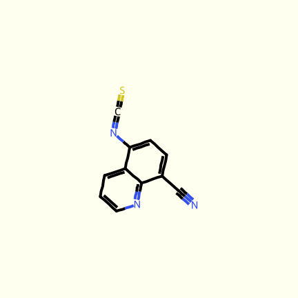 N#Cc1ccc(N=C=S)c2cccnc12